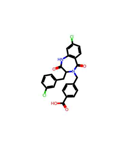 O=C(O)c1ccc(CN2C(=O)c3ccc(Cl)cc3NC(=O)C2Cc2cccc(Cl)c2)cc1